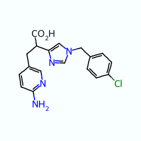 Nc1ccc(CC(C(=O)O)c2cn(Cc3ccc(Cl)cc3)cn2)cn1